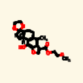 COCCOC(=O)c1coc2c(O)c3c(c(C)c12)CCC1(C)[C@H]3CCC12OCCO2